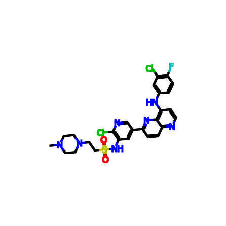 CN1CCN(CCS(=O)(=O)Nc2cc(-c3ccc4nccc(Nc5ccc(F)c(Cl)c5)c4n3)cnc2Cl)CC1